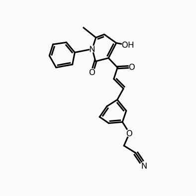 Cc1cc(O)c(C(=O)C=Cc2cccc(OCC#N)c2)c(=O)n1-c1ccccc1